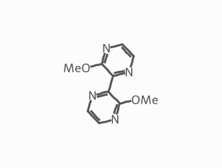 COc1nccnc1-c1nccnc1OC